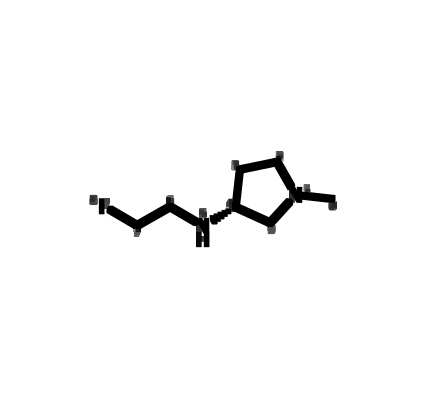 CN1CC[C@@H](NCCF)C1